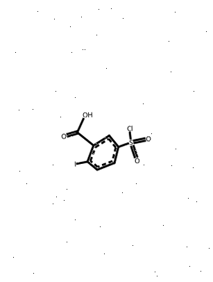 O=C(O)c1cc(S(=O)(=O)Cl)ccc1I